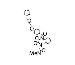 CNC(=O)CN1Cc2ccccc2N(C(=O)c2ccc(OCCOCc3ccccc3)cc2Cl)CC1=O